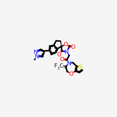 Cn1cc(-c2ccc3c(c2)CC[C@]32OC(=O)N(CC(=O)N3Cc4sccc4OC[C@H]3C(F)(F)F)C2=O)cn1